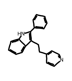 c1ccc(-c2[nH]c3ccccc3c2CCc2ccncc2)cc1